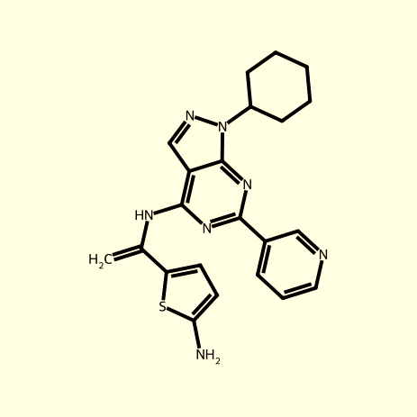 C=C(Nc1nc(-c2cccnc2)nc2c1cnn2C1CCCCC1)c1ccc(N)s1